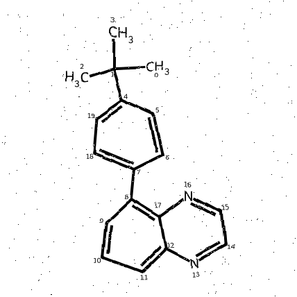 CC(C)(C)c1ccc(-c2cccc3nccnc23)cc1